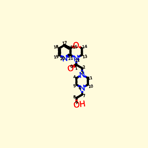 O=C(CN1CCN(CCO)CC1)N1CCOc2cccnc21